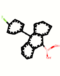 OB(O)c1c2ccccc2c(-c2ccc(F)cc2)c2ccccc12